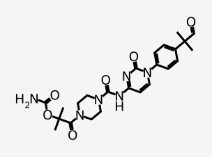 CC(C)(OC(N)=O)C(=O)N1CCN(C(=O)Nc2ccn(-c3ccc(C(C)(C)C=O)cc3)c(=O)n2)CC1